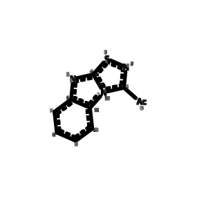 CC(=O)c1nsc2nc3ccccc3n12